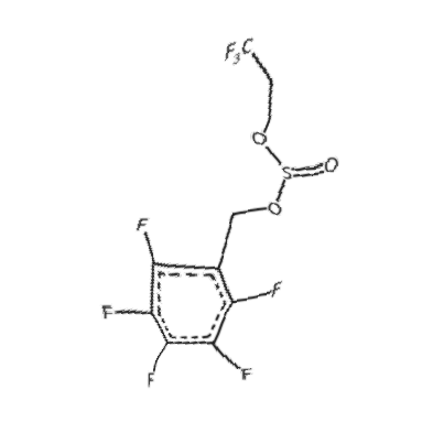 O=S(OCc1c(F)c(F)c(F)c(F)c1F)OCC(F)(F)F